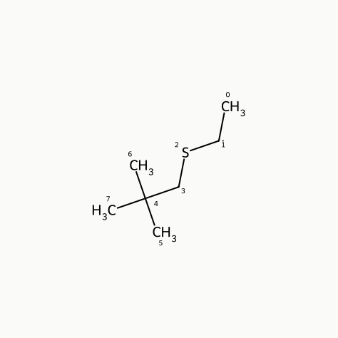 C[CH]SCC(C)(C)C